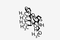 CC[C@@H](C[C@@H](CC)N(CC(C)C)C(O)C1CNC2CCSC2=C1NCCCOC)C(=O)N1CCOCC1